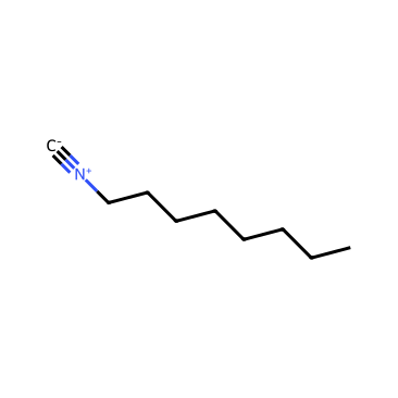 [C-]#[N+]CCCCCCCC